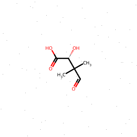 CC(C)(C=O)[C@@H](O)C(=O)O